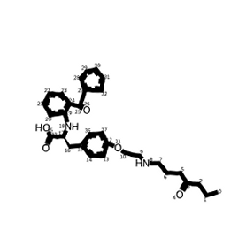 CCCC(=O)CCCNCCOc1ccc(C[C@H](Nc2ccccc2C(=O)c2ccccc2)C(=O)O)cc1